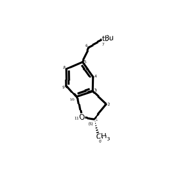 C[C@H]1Cc2cc(CC(C)(C)C)ccc2O1